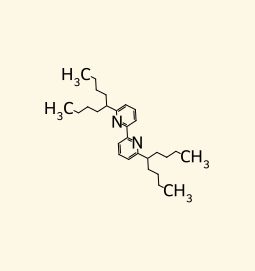 CCCCC(CCCC)c1cccc(-c2cccc(C(CCCC)CCCC)n2)n1